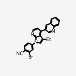 CCc1cn(-c2ccc(C#N)c(Br)c2)c2nccc(-c3cnc4ccccc4c3)c12